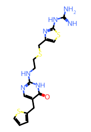 N=C(N)Nc1nc(CSCCNc2ncc(Cc3cccs3)c(=O)[nH]2)cs1